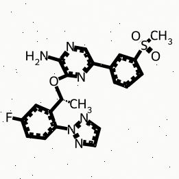 C[C@@H](Oc1nc(-c2cccc(S(C)(=O)=O)c2)cnc1N)c1cc(F)ccc1-n1nccn1